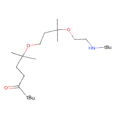 CC(C)(C)NCCOC(C)(C)CCOC(C)(C)CCC(=O)C(C)(C)C